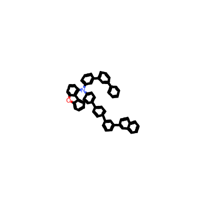 c1ccc(-c2cccc(-c3cccc(N(c4ccc(-c5ccc(-c6cccc(-c7ccc8ccccc8c7)c6)cc5)cc4)c4cccc5oc6ccccc6c45)c3)c2)cc1